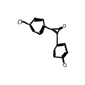 O=c1c(-c2ccc(Cl)cc2)c1-c1ccc(Cl)cc1